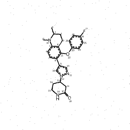 CC1CCc2c(ccc(-c3cnn(C4CCNC(=O)C4)c3)c2Oc2ccc(F)cc2)N1C